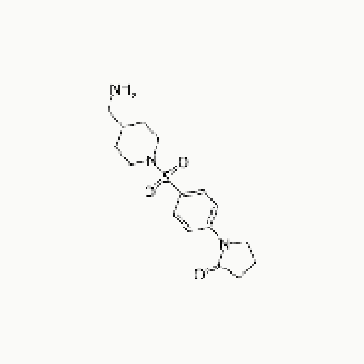 NCC1CCN(S(=O)(=O)c2ccc(N3CCCC3=O)cc2)CC1